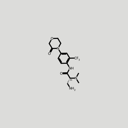 CN(C)[C@H](CN)C(=O)Nc1ccc(N2CCOCC2=O)cc1C(F)(F)F